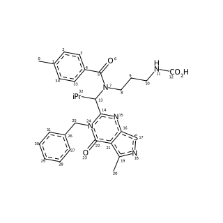 Cc1ccc(C(=O)N(CCCNC(=O)O)C(c2nc3snc(C)c3c(=O)n2Cc2ccccc2)C(C)C)cc1